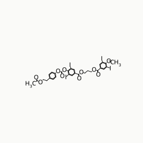 COc1c(I)cc(C(=O)OCCCOC(=O)c2cc(I)c(OC(=O)Oc3ccc(CCOC(C)=O)cc3)c(I)c2)cc1I